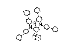 c1ccc(-c2ccc(N3c4ccc(-c5ccccc5)cc4B4c5cc(-c6ccccc6)ccc5N(c5ccc(-c6ccccc6)cc5)c5cc(C67CC8CC(CC(C8)C6)C7)cc3c54)cc2)cc1